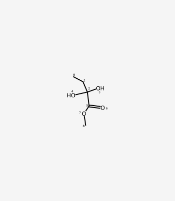 CCC(O)(O)C(=O)OC